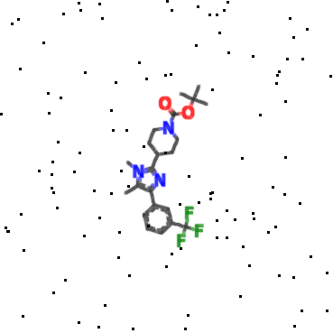 Cc1c(-c2cccc(C(F)(F)F)c2)nc(C2CCN(C(=O)OC(C)(C)C)CC2)n1C